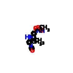 CC1(C)Cc2cc(C(=O)NS(C)(=O)=O)ccc2NC1c1cccc(N2CCOCC2)c1